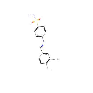 Cc1ccc(C=Nc2ccc(S(N)(=O)=O)cc2)cc1C